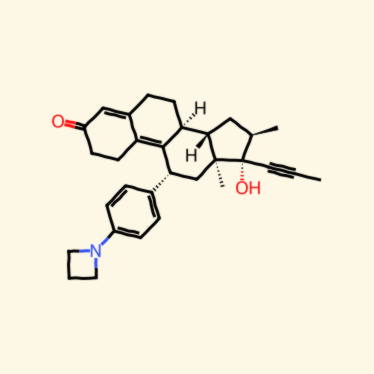 CC#C[C@]1(O)[C@H](C)C[C@H]2[C@@H]3CCC4=CC(=O)CCC4=C3[C@@H](c3ccc(N4CCC4)cc3)C[C@@]21C